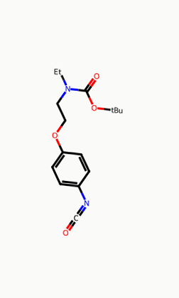 CCN(CCOc1ccc(N=C=O)cc1)C(=O)OC(C)(C)C